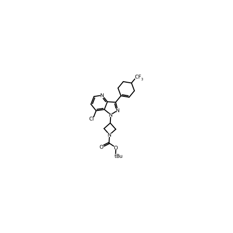 CC(C)(C)OC(=O)N1CC(n2nc(C3=CCC(C(F)(F)F)CC3)c3nccc(Cl)c32)C1